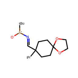 CC(C)C1(C=N[S+]([O-])C(C)(C)C)CCC2(CC1)OCCO2